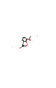 CCC(=O)c1ccc(F)c2c1OCC1C(C(=O)O)C21